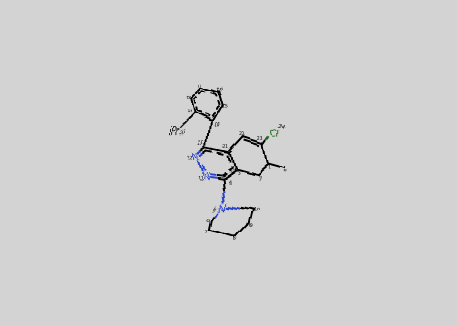 CC1Cc2c(N3CCCCC3)nnc(-c3ccccc3C(C)C)c2C=C1Cl